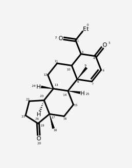 CCC(=O)C1C(=O)C=C[C@@]2(C)C1CC[C@@H]1[C@H]2CC[C@]2(C)C(=O)CC[C@@H]12